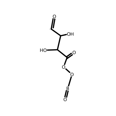 O=BOOC(=O)C(O)C(O)[C]=O